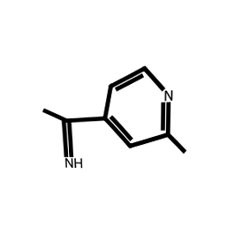 CC(=N)c1ccnc(C)c1